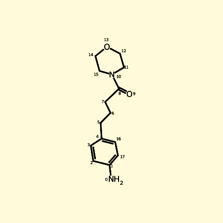 Nc1ccc(CCCC(=O)N2CCOCC2)cc1